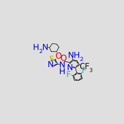 Nc1cc(C(F)(F)F)c(-c2c(F)cccc2F)nc1C(=O)Nc1cnsc1OC1CCCC(N)C1